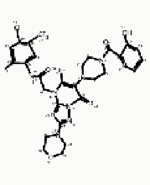 CCc1c(N2CCN(C(=O)c3ncccc3O)CC2)c(=O)n2nc(N3CCOCC3)nc2n1CC(=O)Nc1cc(C(F)(F)F)c(Cl)cc1C